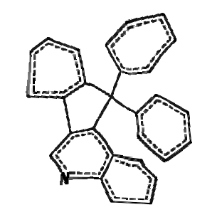 c1ccc(C2(c3ccccc3)c3ccccc3-c3cnc4ccccc4c32)cc1